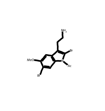 COc1cc2c(CCN)c(Br)n(C(C)=O)c2cc1Br